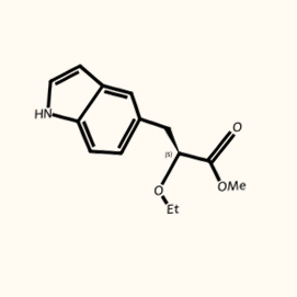 CCO[C@@H](Cc1ccc2[nH]ccc2c1)C(=O)OC